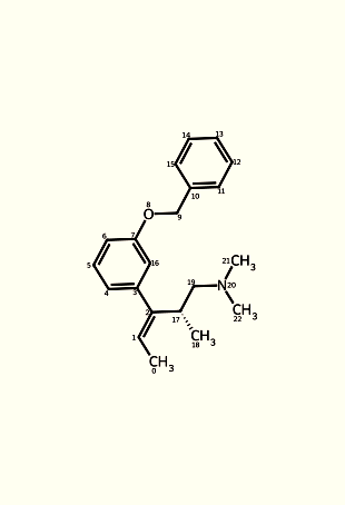 CC=C(c1cccc(OCc2ccccc2)c1)[C@@H](C)CN(C)C